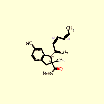 C=C(/C=C\C=C/C)[C@H]1c2cc(C#N)ccc2C[C@@]1(C)C(=O)NC